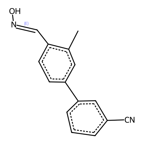 Cc1cc(-c2cccc(C#N)c2)ccc1/C=N/O